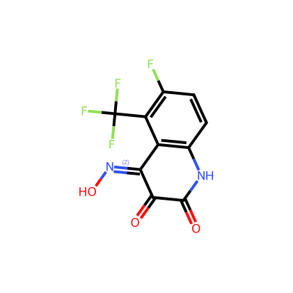 O=C1Nc2ccc(F)c(C(F)(F)F)c2/C(=N/O)C1=O